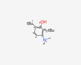 CN(C)c1ccc(C(C)(C)C)c(O)c1C(C)(C)C